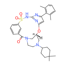 Cc1cccc(C)c1-c1cc2nc(n1)NS(=O)(=O)c1cccc(c1)C(=O)N1CCN(C3CCC(C)(C)CC3)C[C@H](C1)O2